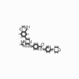 O=C(Nc1ccc(N2CCOCC2)nc1)c1ccc(Nc2ncc(-c3ccc4c(c3)CNCO4)n3ncnc23)cc1